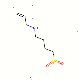 C=CCNCCCC[SH](=O)=O